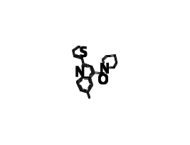 Cc1ccc2nc(C3=CCCS3)cc(C(=O)N3CCCCC3)c2c1